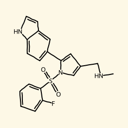 CNCc1cc(-c2ccc3[nH]ccc3c2)n(S(=O)(=O)c2ccccc2F)c1